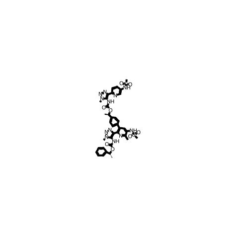 Cc1nc(-c2nnn(C)c2NC(=O)O[C@H](C)c2ccccc2)c(-c2ccc([C@@H](C)OC(=O)Nc3c(-c4ccc(NS(C)(=O)=O)cn4)nnn3C)cc2)cc1NS(C)(=O)=O